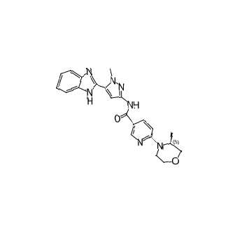 C[C@H]1COCCN1c1ccc(C(=O)Nc2cc(-c3nc4ccccc4[nH]3)n(C)n2)cn1